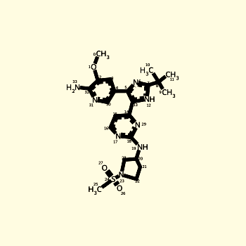 COc1cc(-c2nc(C(C)(C)C)[nH]c2-c2ccnc(NC3CCN(S(C)(=O)=O)C3)n2)cnc1N